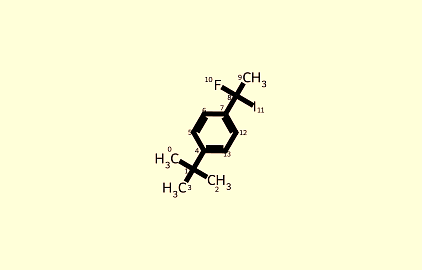 CC(C)(C)c1ccc(C(C)(F)I)cc1